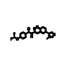 Cn1cncc1-c1ccc2nnc(NC(=O)c3ccc(OC(F)F)cc3)cc2c1